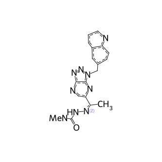 CNC(=O)N/N=C(/C)c1cnc2nnn(Cc3ccc4ncccc4c3)c2n1